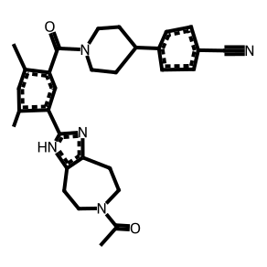 CC(=O)N1CCc2nc(-c3cc(C(=O)N4CCC(c5ccc(C#N)cc5)CC4)c(C)cc3C)[nH]c2CC1